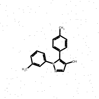 Cc1ccc(-c2c(O)cnn2-c2cccc(C)c2)cc1